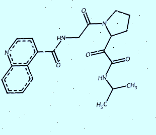 CC(C)NC(=O)C(=O)C1CCCN1C(=O)CNC(=O)c1ccnc2ccccc12